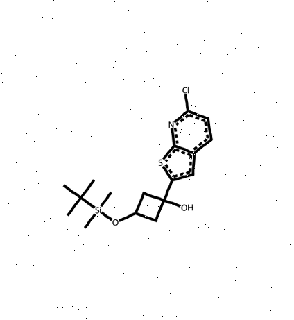 CC(C)(C)[Si](C)(C)OC1CC(O)(c2cc3ccc(Cl)nc3s2)C1